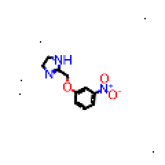 O=[N+]([O-])c1cccc(OCC2=NCCN2)c1